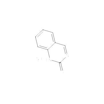 N.O=c1ncc2ccccc2[nH]1